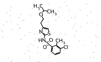 Cc1c(Cl)cccc1S(=O)(=O)Nc1nc(CCOC(C)C)cs1